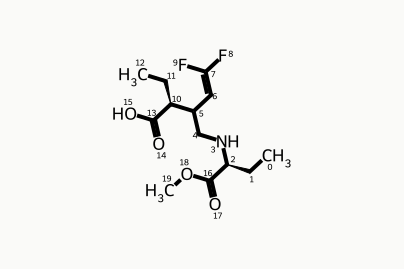 CC[C@H](NCC(C=C(F)F)[C@H](CC)C(=O)O)C(=O)OC